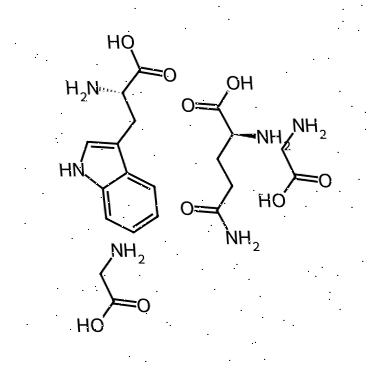 NC(=O)CC[C@H](N)C(=O)O.NCC(=O)O.NCC(=O)O.N[C@@H](Cc1c[nH]c2ccccc12)C(=O)O